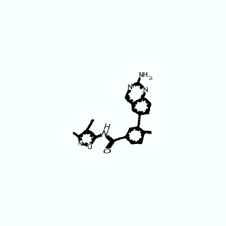 Cc1ccc(C(=O)Nc2onc(C)c2C)cc1-c1ccc2nc(N)ncc2c1